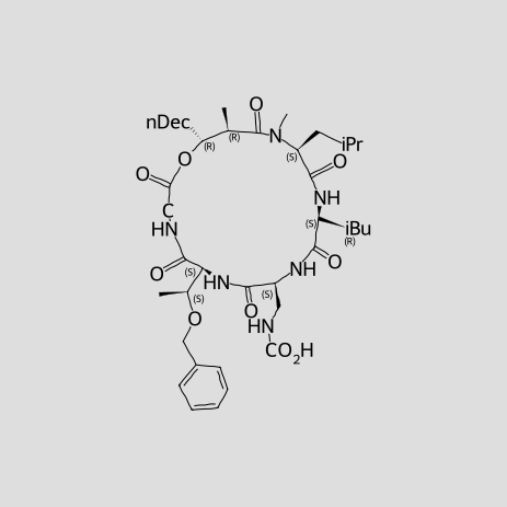 CCCCCCCCCC[C@H]1OC(=O)CNC(=O)[C@H]([C@H](C)OCc2ccccc2)NC(=O)[C@H](CNC(=O)O)NC(=O)[C@H]([C@H](C)CC)NC(=O)[C@H](CC(C)C)N(C)C(=O)[C@@H]1C